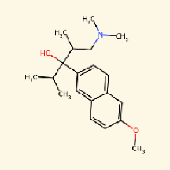 COc1ccc2cc(C(O)(C(C)C)C(C)CN(C)C)ccc2c1